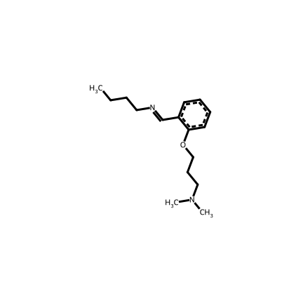 CCCC/N=C/c1ccccc1OCCCN(C)C